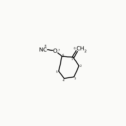 C=C1CCCCC1OC#N